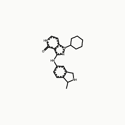 CC1NCc2cc(Nc3nn(C4CCCCC4)c4cc[nH]c(=O)c34)ccc21